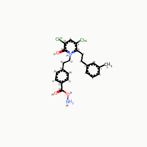 Cc1cccc(CCc2c(Cl)cc(Cl)c(=O)n2CCc2ccc(C(=O)ON)cc2)c1